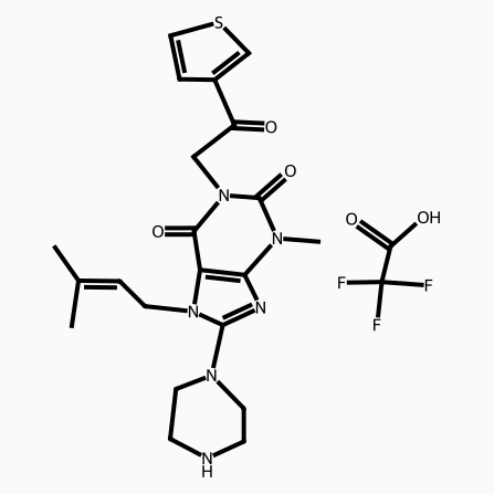 CC(C)=CCn1c(N2CCNCC2)nc2c1c(=O)n(CC(=O)c1ccsc1)c(=O)n2C.O=C(O)C(F)(F)F